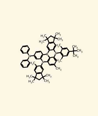 Cc1cc2c3c(c1)N(c1c(C)cc(C(C)(C)C)cc1C)c1cc4c(cc1B3c1ccc(N(c3ccccc3)c3ccccc3)cc1N2c1cc2c(cc1C)C(C)(C)CC2(C)C)C(C)(C)CC4(C)C